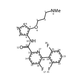 CNCCCOc1sncc1NC(=O)c1ccc(F)c(-c2c(F)cccc2F)n1